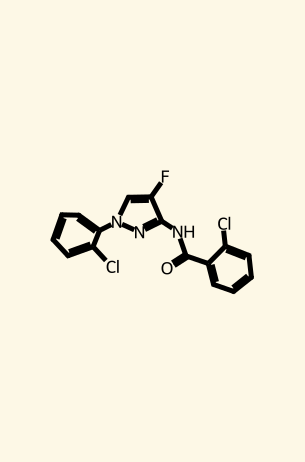 O=C(Nc1nn(-c2ccccc2Cl)cc1F)c1ccccc1Cl